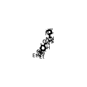 CCN(CC)S(=O)(=O)c1ccc(C(=O)Nc2nc(-c3ccccn3)ns2)cc1